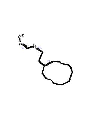 CC/N=C\N=C/C/C1=C/CCCCCCCC1